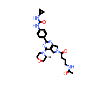 CC(=O)NCCCC(=O)N1Cc2nc(-c3ccc(NC(=O)NC4CC4)cc3)nc(N3CCOC[C@@H]3C)c2C1